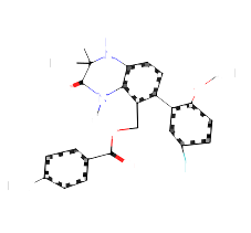 COc1ccc(F)cc1-c1ccc2c(c1COC(=O)c1ccc(C)cc1)N(C)C(=O)C(C)(C)N2